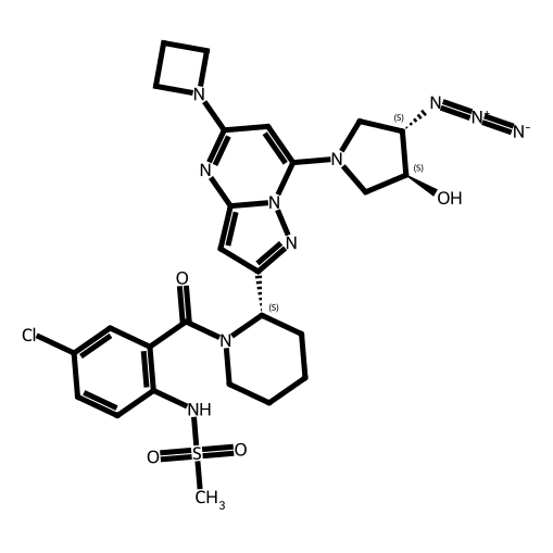 CS(=O)(=O)Nc1ccc(Cl)cc1C(=O)N1CCCC[C@H]1c1cc2nc(N3CCC3)cc(N3C[C@H](N=[N+]=[N-])[C@@H](O)C3)n2n1